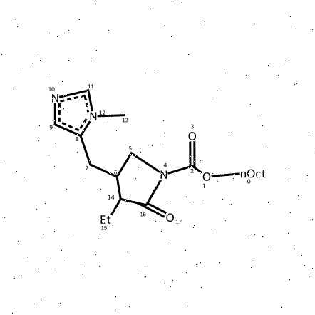 CCCCCCCCOC(=O)N1CC(Cc2cncn2C)C(CC)C1=O